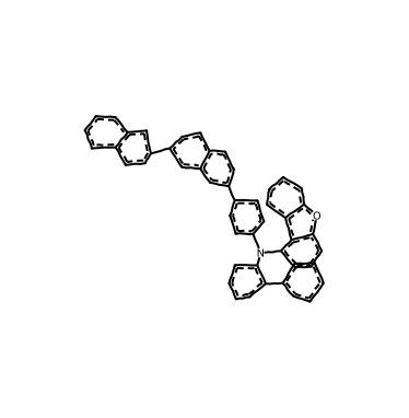 c1ccc(-c2ccccc2N(c2ccc(-c3ccc4ccc(-c5ccc6ccccc6c5)cc4c3)cc2)c2cccc3oc4ccccc4c23)cc1